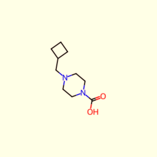 O=C(O)N1CCN(CC2CCC2)CC1